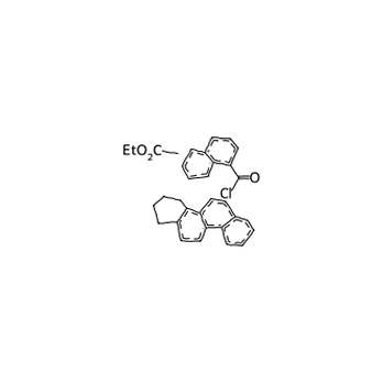 CCOC(C)=O.O=C(Cl)c1cccc2ccccc12.c1ccc2c(c1)ccc1c3c(ccc12)CCCC3